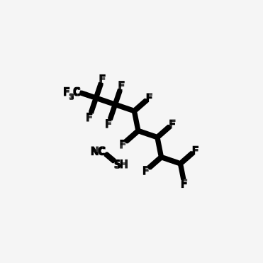 FC(F)C(F)C(F)C(F)C(F)C(F)(F)C(F)(F)C(F)(F)F.N#CS